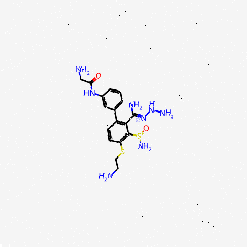 NCCSc1ccc(-c2cccc(NC(=O)CN)c2)c(/C(N)=N/NN)c1[S+](N)[O-]